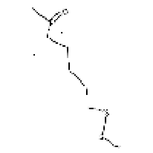 CSSCCCCCC(C)=O